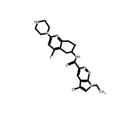 CCn1cc(Cl)c2cc(C(=O)NC3CCc4nc(N5CCNCC5)cc(F)c4C3)nnc21